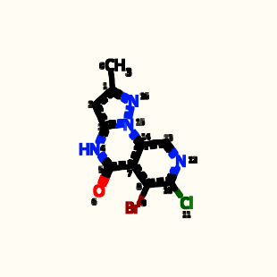 Cc1cc2[nH]c(=O)c3c(Br)c(Cl)ncc3n2n1